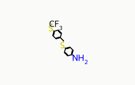 Nc1ccc(SCc2ccc(SC(F)(F)F)cc2)cc1